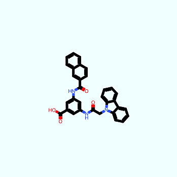 O=C(Cn1c2ccccc2c2ccccc21)Nc1cc(NC(=O)c2ccc3ccccc3c2)cc(C(=O)O)c1